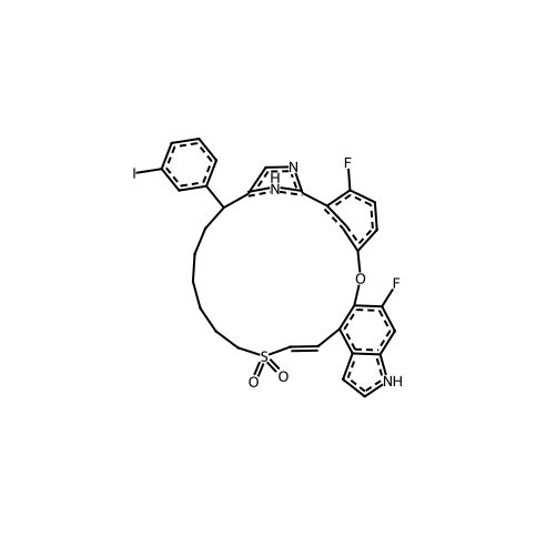 O=S1(=O)/C=C/c2c(c(F)cc3[nH]ccc23)Oc2ccc(F)c(c2)-c2ncc([nH]2)C(c2cccc(I)c2)CCCCCC1